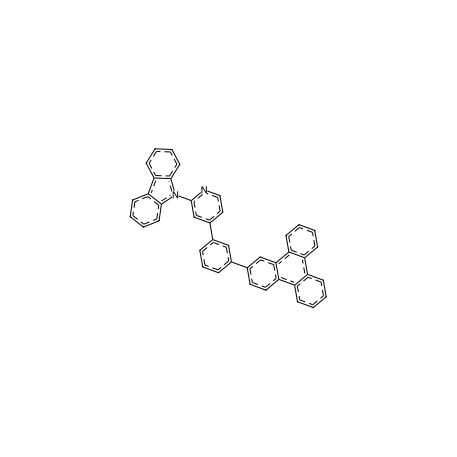 c1cc(-c2ccnc(-n3c4ccccc4c4ccccc43)c2)cc(-c2ccc3c4ccccc4c4ccccc4c3c2)c1